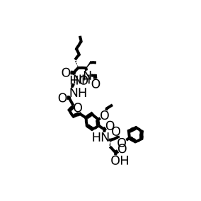 CCCCC[C@@H](C(=O)NCNC(=O)c1ccc(-c2ccc(C(=O)N[C@@H](CC(=O)O)C(=O)Oc3ccccc3)c(OCC)c2)o1)[C@@H](CC)N(O)C=O